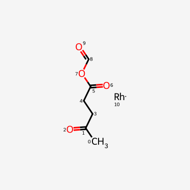 CC(=O)CCC(=O)OC=O.[Rh]